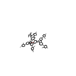 Cc1ccc(-c2ccc3c(c2)c2cc(-c4ccc(C)cc4C)ccc2n3-c2ccc(C#N)c(-c3cc(-c4ccc(C)cc4C(F)(F)F)ccc3-n3c4ccc(-c5ccc(C)cc5C)cc4c4cc(-c5ccc(C)cc5C)ccc43)c2)c(C)c1